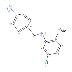 COc1ccc(Cl)cc1NCc1ccc(N)cc1